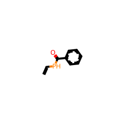 C=CPC(=O)c1ccccc1